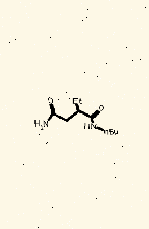 CCCCNC(=O)C(CC)CC(N)=O